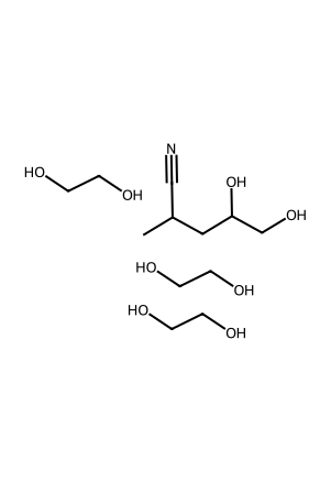 CC(C#N)CC(O)CO.OCCO.OCCO.OCCO